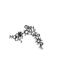 CC(C)(O)Cn1cc(-c2ccc(OC3CCN(C(=O)Cc4ccc(OC5CC5)cn4)CC3)c(C(N)=O)c2)cn1